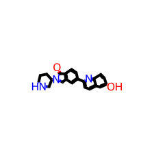 O=C1c2ccc(-c3ccc4cc(O)ccc4n3)cc2CN1C1CCCNC1